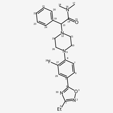 CCc1noc(-c2ccc(N3CCN(C(C(=O)N(C)C)c4ccccc4)CC3)c(F)c2)n1